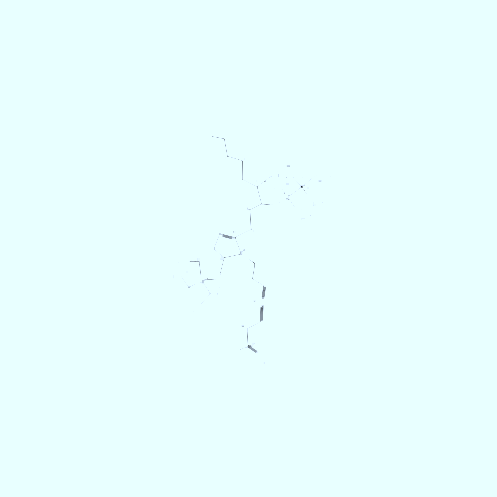 CCCCCC(C)C(CCC1=CCC(O[Si](CC)(CC)CC)[C@@H]1CCC=C=CCC(=O)O)O[Si](C)(C)C(C)(C)C